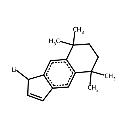 [Li][CH]1C=Cc2cc3c(cc21)C(C)(C)CCC3(C)C